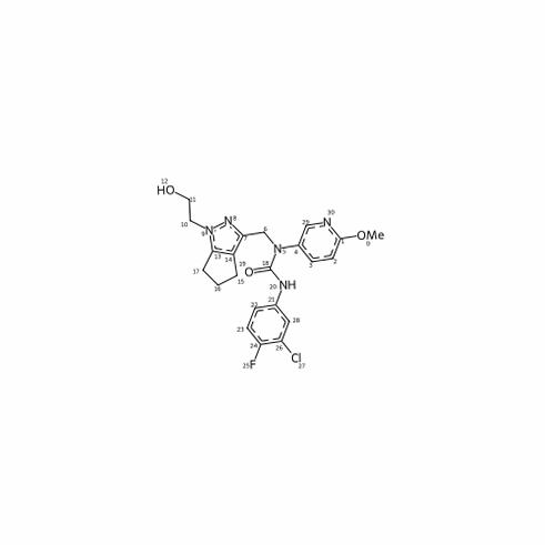 COc1ccc(N(Cc2nn(CCO)c3c2CCC3)C(=O)Nc2ccc(F)c(Cl)c2)cn1